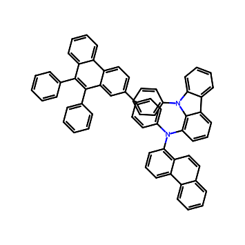 c1ccc(-c2c(-c3ccccc3)c3cc(-c4ccc(N(c5cccc6c5ccc5ccccc56)c5cccc6c7ccccc7n(-c7ccccc7)c56)cc4)ccc3c3ccccc23)cc1